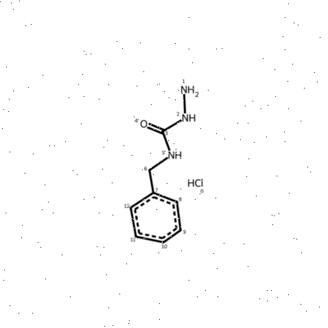 Cl.NNC(=O)NCc1ccccc1